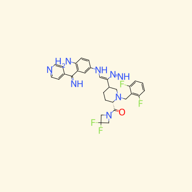 N=N/C(=C\Nc1ccc(N)c(C(=N)c2ccncc2)c1)C1CC[C@@H](C(=O)N2CC(F)(F)C2)N(Cc2c(F)cccc2F)C1